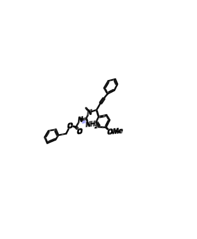 COc1ccc(C(C#Cc2ccccc2)N(C)/C(N)=N/C(=O)OCc2ccccc2)cc1